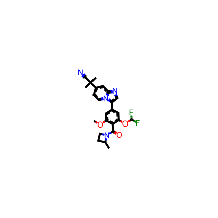 COc1cc(-c2cnc3cc(C(C)(C)C#N)ccn23)cc(OC(F)F)c1C(=O)N1CCC1C